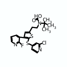 CC(C)(C)N(CCc1cc(-c2cccnc2F)c(Sc2ccnc(Cl)c2)s1)C(=O)O